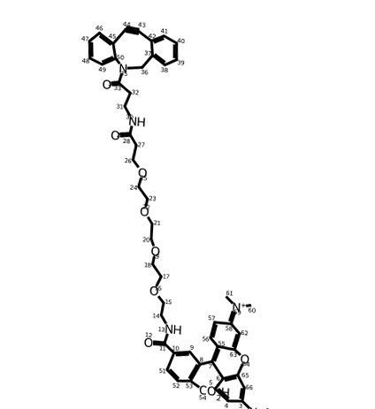 CN(C)c1ccc2c(-c3cc(C(=O)NCCOCCOCCOCCOCCC(=O)NCCC(=O)N4Cc5ccccc5C#Cc5ccccc54)ccc3C(=O)O)c3ccc(=[N+](C)C)cc-3oc2c1